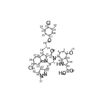 COc1ccc(N2CC(C)n3c(c(CCCOc4cc(C)c(Cl)c(C)c4)c4ccc(Cl)c(-c5c(C)nn(C)c5C)c43)C2=O)c2[nH]c(C(=O)O)cc12